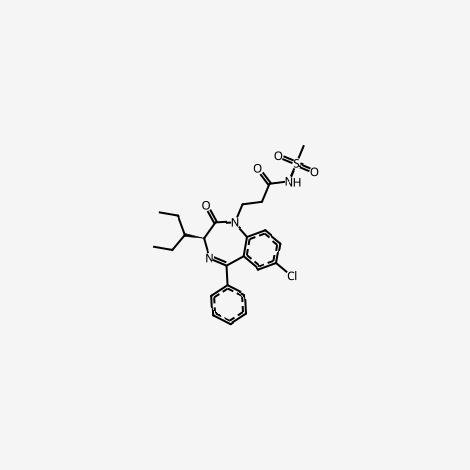 CCC(CC)[C@@H]1N=C(c2ccccc2)c2cc(Cl)ccc2N(CCC(=O)NS(C)(=O)=O)C1=O